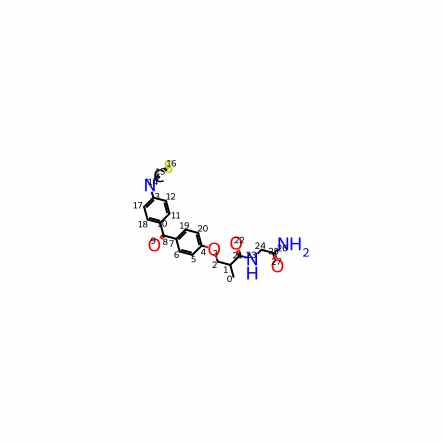 CC(COc1ccc(C(=O)c2ccc(N=C=S)cc2)cc1)C(=O)NCC(N)=O